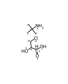 CC(C)(C)N.O=[PH](O)C(O)CCl